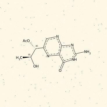 CC(=O)O[C@H](c1cnc2nc(N)[nH]c(=O)c2n1)[C@H](C)O